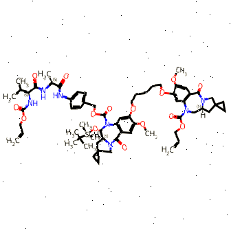 C=CCOC(=O)N[C@H](C(=O)N[C@@H](C)C(=O)Nc1ccc(COC(=O)N2c3cc(OCCCCCOc4cc5c(cc4OC)C(=O)N4CC6(CC6)C[C@H]4CN5C(=O)OCC=C)c(OC)cc3C(=O)N3CC4(CC4)C[C@H]3[C@@H]2O[Si](C)(C)C(C)(C)C)cc1)C(C)C